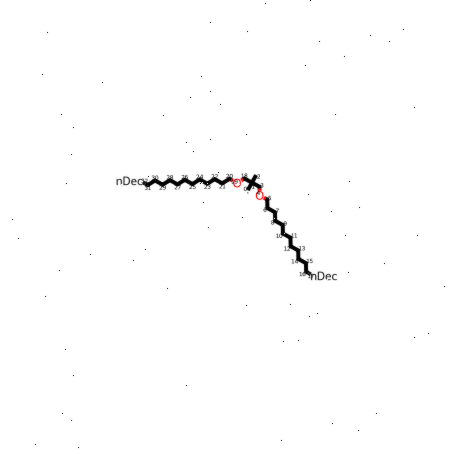 [CH2]C(C)(COCCCCCCCCCCCCCCCCCCCCCC)COCCCCCCCCCCCCCCCCCCCCCC